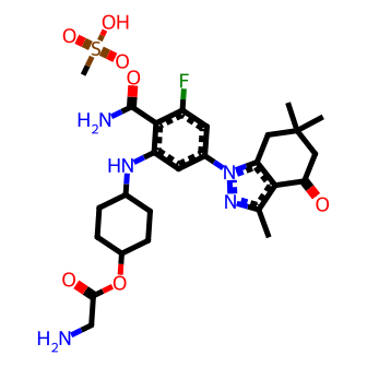 CS(=O)(=O)O.Cc1nn(-c2cc(F)c(C(N)=O)c(NC3CCC(OC(=O)CN)CC3)c2)c2c1C(=O)CC(C)(C)C2